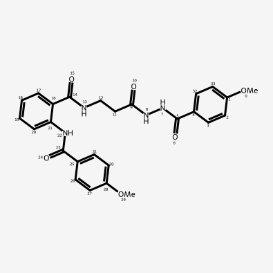 COc1ccc(C(=O)NNC(=O)CCNC(=O)c2ccccc2NC(=O)c2ccc(OC)cc2)cc1